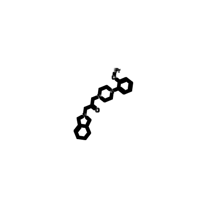 CC(C)Oc1ccccc1N1CCN(CC(=O)CN2CC3=CCCCC3C2)CC1